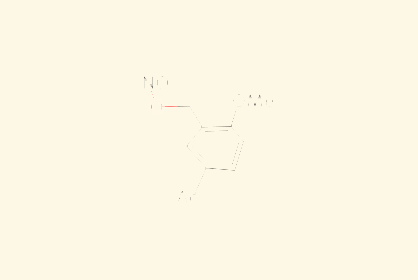 COc1ccc(C(C)=O)cc1CON=O